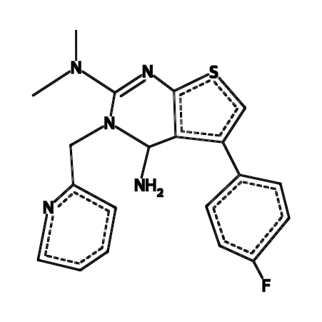 CN(C)C1=Nc2scc(-c3ccc(F)cc3)c2C(N)N1Cc1ccccn1